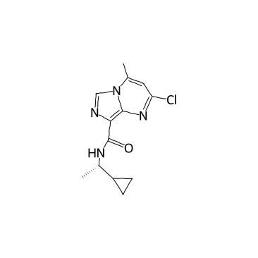 Cc1cc(Cl)nc2c(C(=O)N[C@@H](C)C3CC3)ncn12